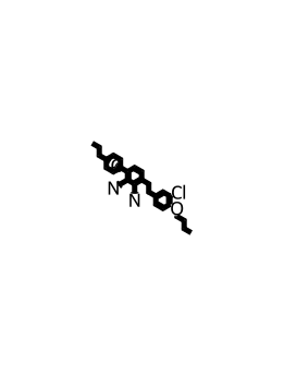 CCCCOc1ccc(CCc2ccc(C34CCC(CCC)(CC3)CC4)c(C#N)c2C#N)cc1Cl